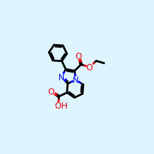 CCOC(=O)c1c(-c2ccccc2)nc2c(C(=O)O)cccn12